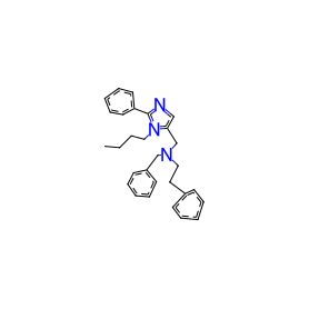 CCCCn1c(CN(CCc2ccccc2)Cc2ccccc2)cnc1-c1ccccc1